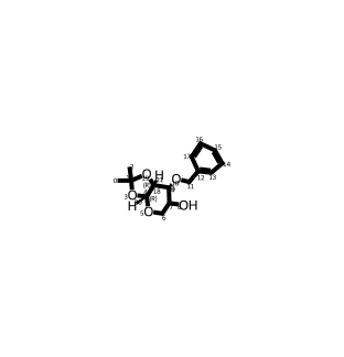 CC1(C)O[C@H]2OCC(O)[C@H](OCc3ccccc3)[C@H]2O1